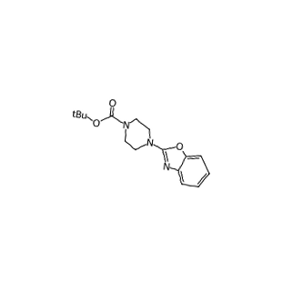 CC(C)(C)OC(=O)N1CCN(c2nc3ccccc3o2)CC1